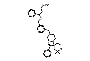 CNCC[C@@H](OCc1cccc(CN2CCN([C@@]3(C(=O)c4ccccn4)CCOC(C)(C)C3)CC2)c1)c1ccccc1